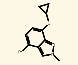 CC(C)c1ccc(OC2CC2)c2nn(C)cc12